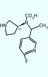 CC(c1ccc(F)nc1)N(C(=O)O)[C@H]1CCNC1